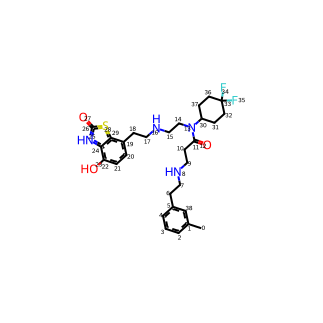 Cc1cccc(CCNCCC(=O)N(CCNCCc2ccc(O)c3[nH]c(=O)sc23)C2CCC(F)(F)CC2)c1